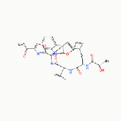 C=C(C)C1NC(=O)[C@@H](NC(=O)[C@@H](O)C(C)C)Cc2ccc3c(c2)[C@]2(c4ccccc4NC2O3)c2oc1nc2-c1nc(C(=O)OC)co1